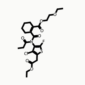 CCOCCOC(=O)C1=C(C(=O)N(C(=O)CC)c2c(F)sc(CC(=O)OCC)c2Cl)CCCC1